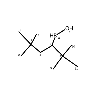 CC(C)(C)CC(BO)C(C)(C)C